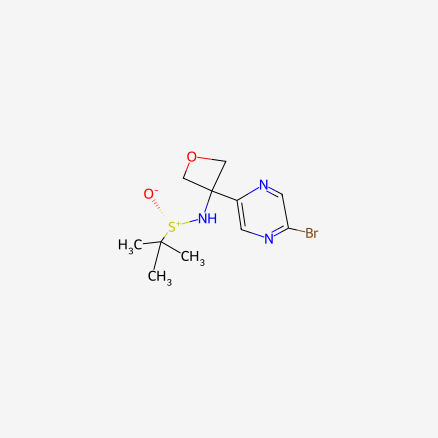 CC(C)(C)[S@+]([O-])NC1(c2cnc(Br)cn2)COC1